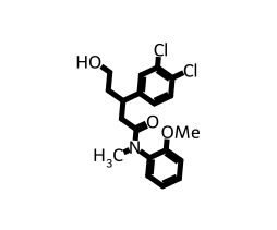 COc1ccccc1N(C)C(=O)CC(CCO)c1ccc(Cl)c(Cl)c1